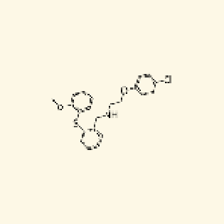 COc1ccccc1Sc1ccccc1CNCCOc1ccc(Cl)cc1